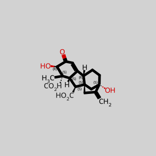 C=C1C[C@]23C[C@@]1(O)CC[C@H]2C1=CC(=O)[C@H](O)[C@@](C)(C(=O)O)[C@H]1[C@@H]3C(=O)O